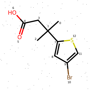 CC(C)(CC(=O)O)c1cc(Br)cs1